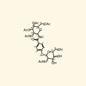 CC(=O)NC1C(Oc2ccc(C(=O)NC3OC(COC(C)=O)C(OC(C)=O)C(OC(C)=O)C3NC(C)=O)cc2)OC(CO)C(O)C1O